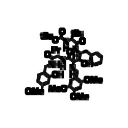 COc1ccc(CNC(=O)[C@@H](NC(=O)[C@H](NCc2cc(OC)c(OC)cc2OC)[C@H](O)[C@H](Cc2ccccc2)NC(=O)[C@@H](NC(=O)OC(C)(C)C)C(C)(C)C)C(C)C)c(O)c1